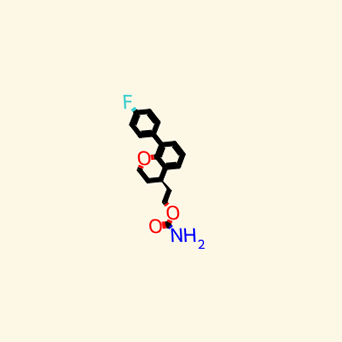 NC(=O)OCC[C@H]1CCOc2c(-c3ccc(F)cc3)cccc21